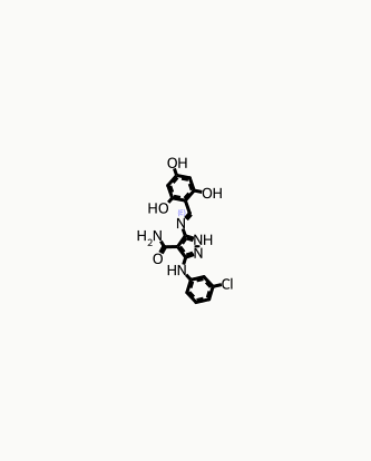 NC(=O)c1c(Nc2cccc(Cl)c2)n[nH]c1/N=C/c1c(O)cc(O)cc1O